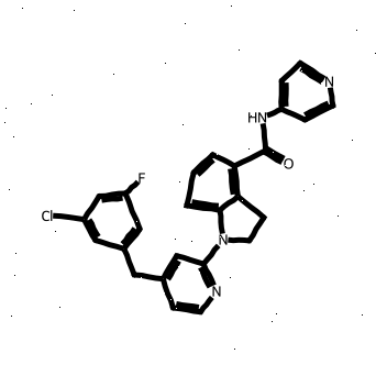 O=C(Nc1ccncc1)c1cccc2c1CCN2c1cc(Cc2cc(F)cc(Cl)c2)ccn1